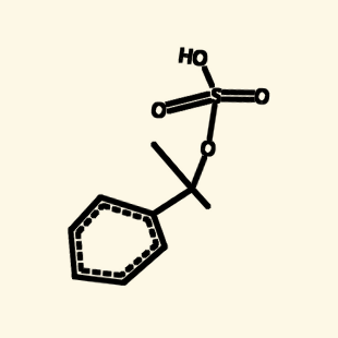 CC(C)(OS(=O)(=O)O)c1ccccc1